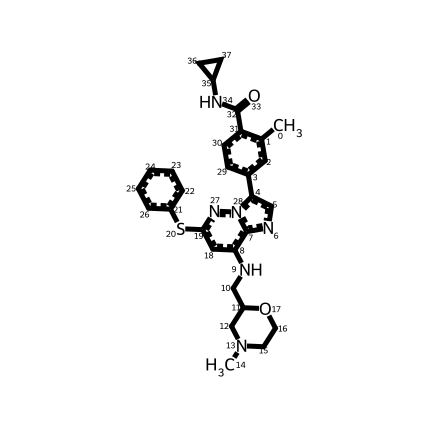 Cc1cc(-c2cnc3c(NCC4CN(C)CCO4)cc(Sc4ccccc4)nn23)ccc1C(=O)NC1CC1